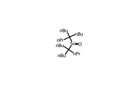 CCCC[C](CCC)(CCCC)[Sn](=[O])[C](CCC)(CCCC)CCCC